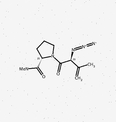 C=C(C)[C@H](N=[N+]=[N-])C(=O)N1CCC[C@H]1C(=O)NC